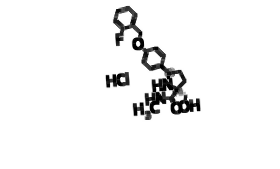 CNC(=O)[C@]1(CO)CC[C@H](c2ccc(OCc3ccccc3F)cc2)N1.Cl